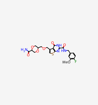 COc1cc(CNC(=O)c2nc3scc(COCC4COC(C(N)=O)CO4)c3c(=O)[nH]2)ccc1F